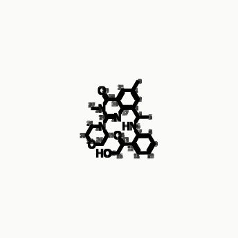 Cc1cc(C(C)Nc2ccccc2C(=O)CO)c2nc(N3CCOCC3)n(C)c(=O)c2c1